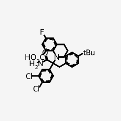 CC(C)(C)c1ccc(CC(C(N)=O)(c2ccc(Cl)c(Cl)c2)N2CCCc3cc(F)cc(C(=O)O)c32)cc1